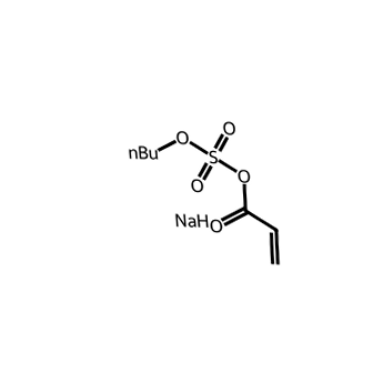 C=CC(=O)OS(=O)(=O)OCCCC.[NaH]